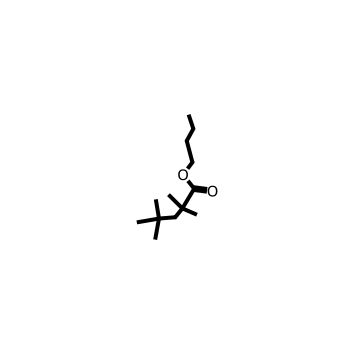 CCCCOC(=O)C(C)(C)CC(C)(C)C